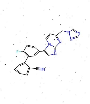 N#Cc1ccccc1-c1cc(-c2cnc3nc(Cn4cncn4)ccn23)ccc1F